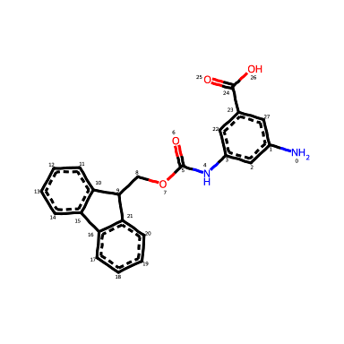 Nc1cc(NC(=O)OCC2c3ccccc3-c3ccccc32)cc(C(=O)O)c1